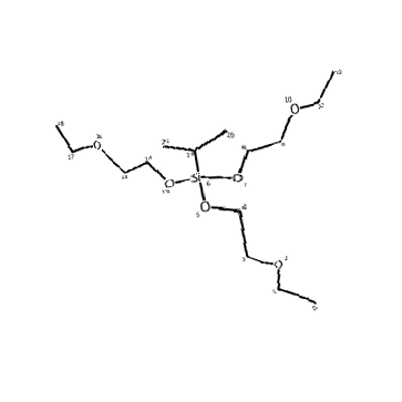 CCOCCO[Si](OCCOCC)(OCCOCC)C(C)C